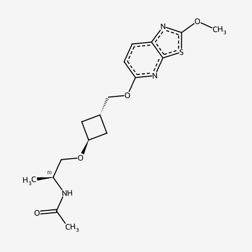 COc1nc2ccc(OC[C@H]3C[C@H](OC[C@H](C)NC(C)=O)C3)nc2s1